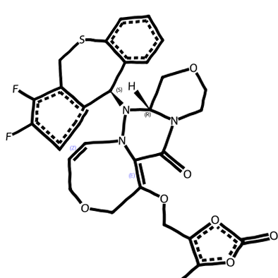 Cc1oc(=O)oc1CO/C1=C2\C(=O)N3CCOC[C@H]3N([C@@H]3c4ccccc4SCc4c3ccc(F)c4F)N2/C=C\COC1